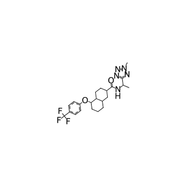 CC(NC(=O)C1CCC2C(CCCC2Oc2ccc(C(F)(F)F)cc2)C1)c1nnn(C)n1